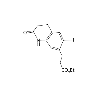 CCOC(=O)CCc1cc2c(cc1I)CCC(=O)N2